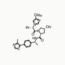 COc1cn([C@H](C(=O)N2C[C@H](O)C[C@H]2C(=O)N[C@@H](C)c2ccc(-c3scnc3C)cc2)C(C)C)cn1